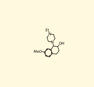 CCN1CCN(C2c3cc(OC)ccc3CCC2O)CC1